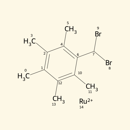 Cc1c(C)c(C)c(C(Br)Br)c(C)c1C.[Ru+2]